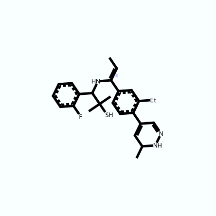 C/C=C(\NC(c1ccccc1F)C(C)(C)S)c1ccc(C2=CC(C)NN=C2)c(CC)c1